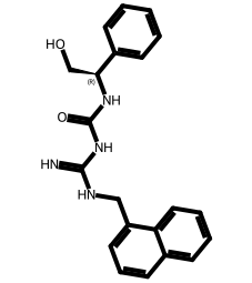 N=C(NCc1cccc2ccccc12)NC(=O)N[C@@H](CO)c1ccccc1